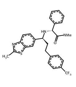 CNC(=O)[C@H](N[C@@H](CCc1ccc(C(F)(F)F)cc1)c1ccc2nc(C)sc2c1)c1ccccc1